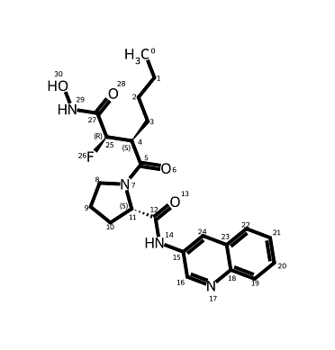 CCCC[C@@H](C(=O)N1CCC[C@H]1C(=O)Nc1cnc2ccccc2c1)[C@@H](F)C(=O)NO